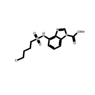 COC(=O)n1cnc2c(NS(=O)(=O)CCCCCl)cccc21